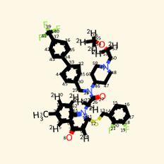 [2H]c1c(C)c([2H])c2c(=O)c([2H])c(SCc3cccc(F)c3F)n(C([2H])([2H])C(=O)N(Cc3ccc(-c4ccc(C(F)(F)F)cc4)cc3)C3CCN(CC([2H])([2H])OC([2H])([2H])[2H])CC3)c2c1[2H]